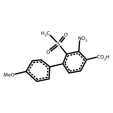 COc1ccc(-c2ccc(C(=O)O)c([N+](=O)[O-])c2S(C)(=O)=O)cc1